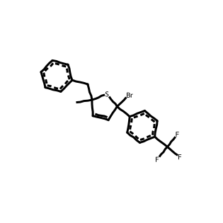 CC1(Cc2ccccc2)C=CC(Br)(c2ccc(C(F)(F)F)cc2)S1